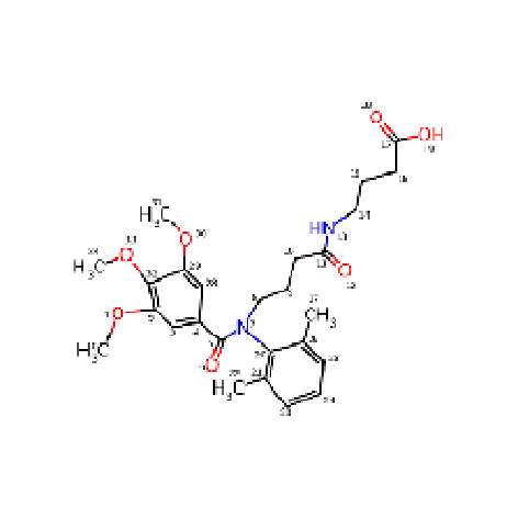 COc1cc(C(=O)N(CCCC(=O)NCCCC(=O)O)c2c(C)cccc2C)cc(OC)c1OC